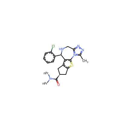 CCCN(CCC)C(=O)[C@@H]1Cc2sc3c(c2C1)C(c1ccccc1Cl)NCc1nnc(C)n1-3